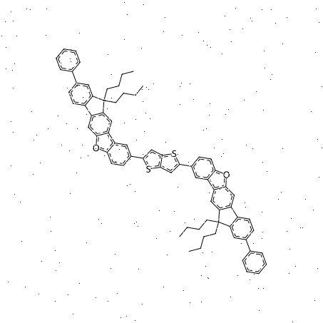 CCCCC1(CCCC)c2cc(-c3ccccc3)ccc2-c2cc3oc4ccc(-c5cc6sc(-c7ccc8oc9cc%10c(cc9c8c7)C(CCCC)(CCCC)c7cc(-c8ccccc8)ccc7-%10)cc6s5)cc4c3cc21